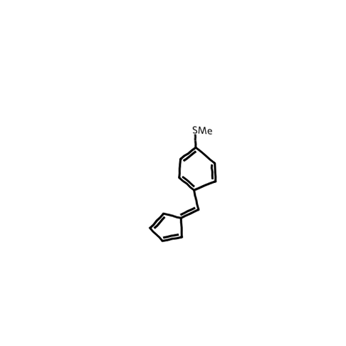 CSc1ccc(C=C2C=CC=C2)cc1